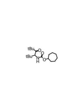 CC(C)(C)C(=O)C(NC(=O)OC1CCCCCC1)C(C)(C)C